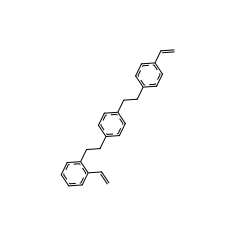 C=Cc1ccc(CCc2ccc(CCc3ccccc3C=C)cc2)cc1